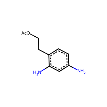 CC(=O)OCCc1ccc(N)cc1N